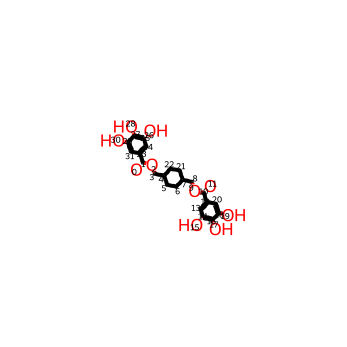 O=C(OCC1CCC(COC(=O)c2cc(O)c(O)c(O)c2)CC1)c1cc(O)c(O)c(O)c1